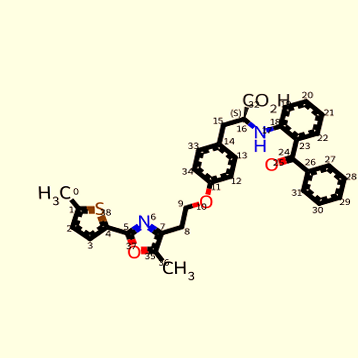 Cc1ccc(-c2nc(CCOc3ccc(C[C@H](Nc4ccccc4C(=O)c4ccccc4)C(=O)O)cc3)c(C)o2)s1